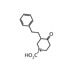 O=C1CCN(C(=O)O)CC1CCc1ccccc1